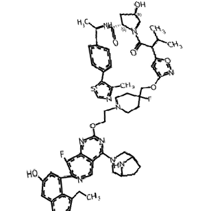 CCc1cccc2cc(O)cc(-c3ncc4c(N5CC6CCC(C5)N6)nc(OCCN5CCC(F)(COc6cc(C(C(=O)N7C[C@H](O)C[C@H]7C(=O)NC(C)c7ccc(-c8scnc8C)cc7)C(C)C)on6)CC5)nc4c3F)c12